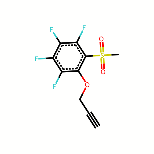 C#CCOc1c(F)c(F)c(F)c(F)c1S(C)(=O)=O